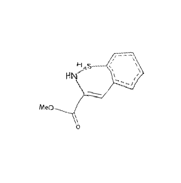 COC(=O)C1=Cc2ccccc2[SH4]N1